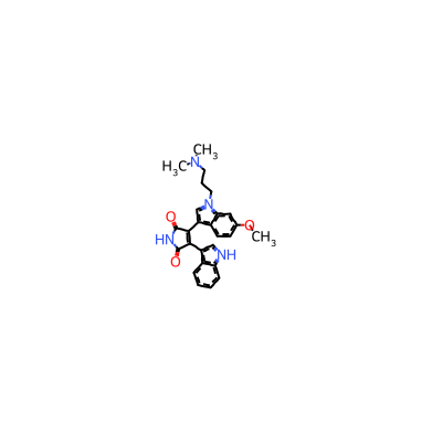 COc1ccc2c(C3=C(c4c[nH]c5ccccc45)C(=O)NC3=O)cn(CCCN(C)C)c2c1